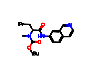 CC(C)C[C@@H](C(=O)Nc1ccc2ccncc2c1)N(C)C(=O)OC(C)(C)C